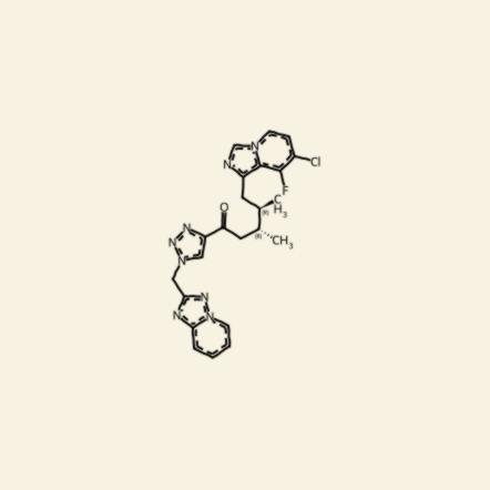 C[C@H](CC(=O)c1cn(Cc2nc3ccccn3n2)nn1)[C@H](C)Cc1ncn2ccc(Cl)c(F)c12